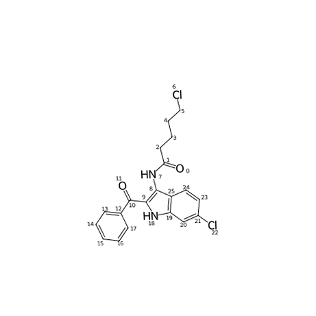 O=C(CCCCCl)Nc1c(C(=O)c2ccccc2)[nH]c2cc(Cl)ccc12